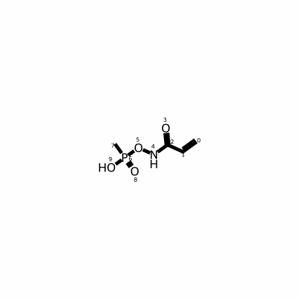 C=CC(=O)NOP(C)(=O)O